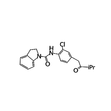 CC(C)C(=O)Cc1ccc(NC(=O)N2CCc3ccccc32)c(Cl)c1